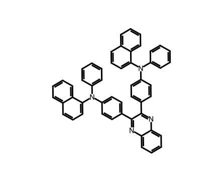 c1ccc(N(c2ccc(-c3nc4ccccc4nc3-c3ccc(N(c4ccccc4)c4cccc5ccccc45)cc3)cc2)c2cccc3ccccc23)cc1